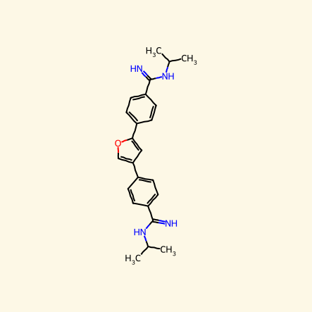 CC(C)NC(=N)c1ccc(-c2coc(-c3ccc(C(=N)NC(C)C)cc3)c2)cc1